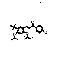 CC(C)Oc1cc(OC(C)C)c(C(C)(C)C)cc1C=CC(=O)c1ccc(O)cc1